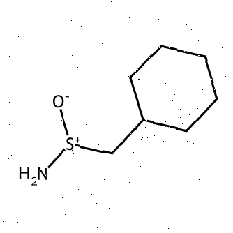 N[S+]([O-])CC1CCCCC1